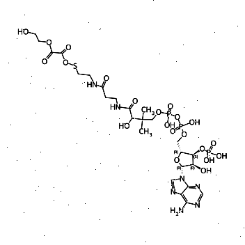 CC(C)(COP(=O)(O)OP(=O)(O)OC[C@H]1O[C@@H](n2cnc3c(N)ncnc32)[C@H](O)[C@@H]1OP(=O)(O)O)C(O)C(=O)NCCC(=O)NCCSOC(=O)C(=O)OCCO